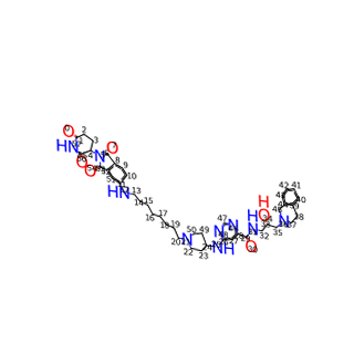 O=C1CCC(N2C(=O)c3ccc(NCCCCCCCCN4CCC(Nc5cc(C(=O)NC[C@H](O)CN6CCc7ccccc7C6)ncn5)CC4)cc3C2=O)C(=O)N1